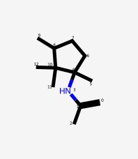 C=C(C)NC1(C)CCC(C)C1(C)C